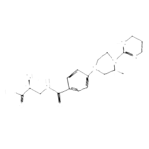 C[C@H]1CN(c2ccc(C(=O)NC[C@H](N)C(=O)O)cc2)CCN1C1=NCCCN1